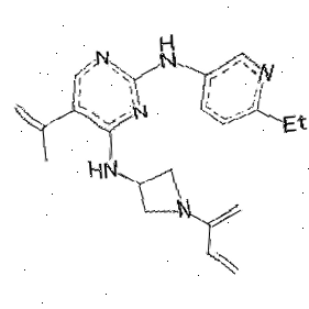 C=CC(=C)N1CC(Nc2nc(Nc3ccc(CC)nc3)ncc2C(=C)C)C1